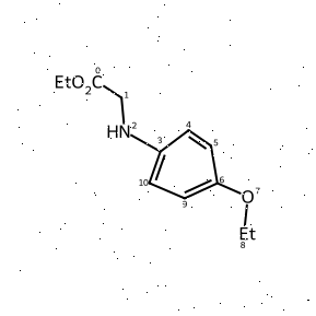 CCOC(=O)CNc1ccc(OCC)cc1